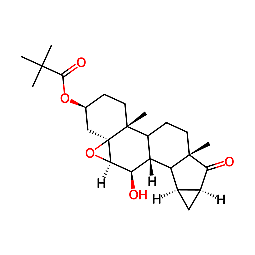 CC(C)(C)C(=O)O[C@H]1CC[C@]2(C)C3CC[C@]4(C)C(=O)[C@H]5C[C@H]5C4[C@@H]3[C@@H](O)[C@H]3O[C@]32C1